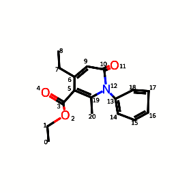 CCOC(=O)c1c(CC)cc(=O)n(-c2ccccc2)c1C